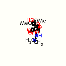 COc1cc([C@@H]2c3cc4c(cc3[C@@H](OC(=O)NCCN(C)C)[C@@H]3COC(=O)[C@@H]23)OCO4)cc(OC)c1O